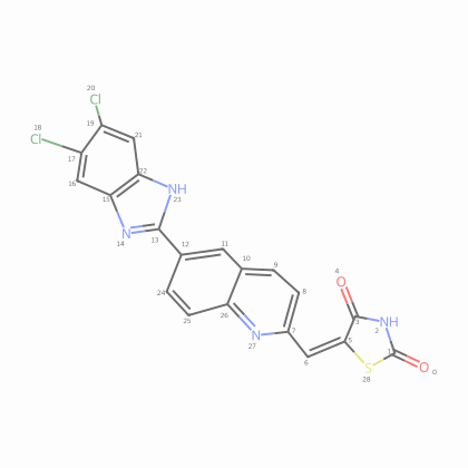 O=C1NC(=O)/C(=C\c2ccc3cc(-c4nc5cc(Cl)c(Cl)cc5[nH]4)ccc3n2)S1